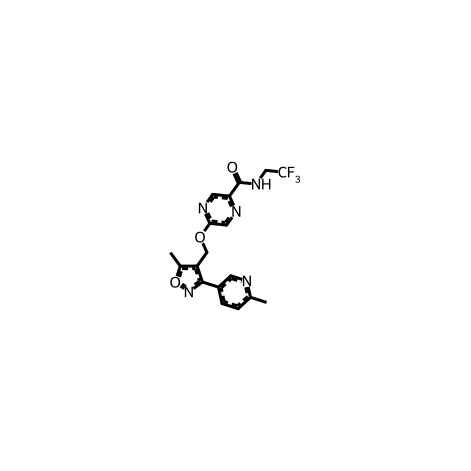 Cc1ccc(-c2noc(C)c2COc2cnc(C(=O)NCC(F)(F)F)cn2)cn1